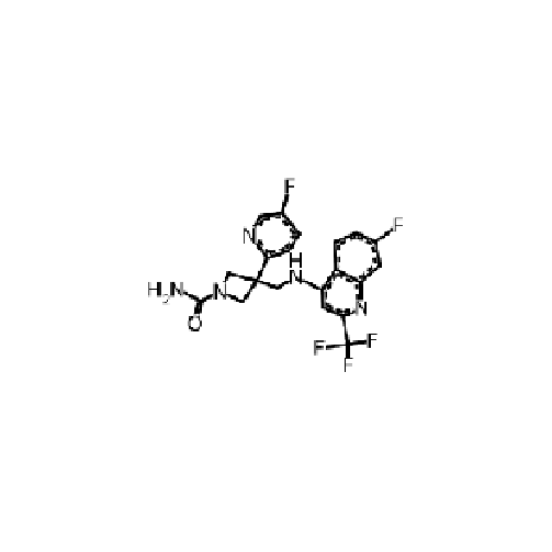 NC(=O)N1CC(CNc2cc(C(F)(F)F)nc3cc(F)ccc23)(c2ccc(F)cn2)C1